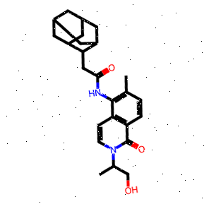 Cc1ccc2c(=O)n(C(C)CO)ccc2c1NC(=O)CC1C2CC3CC(C2)CC1C3